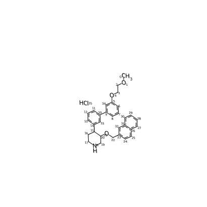 COCCOc1cccc(-c2cccc(C3CCNCC3OCc3ccc4ccccc4c3)c2)c1.Cl